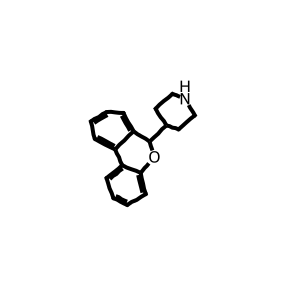 c1ccc2c(c1)OC(C1CCNCC1)c1ccccc1-2